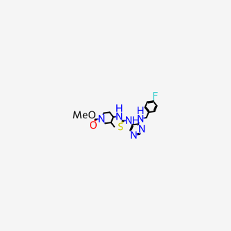 COC(=O)N1CCC(NC(=S)Nc2cncnc2NCc2ccc(F)cc2)C(C)C1